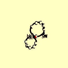 CCSC1(C)CCCCCCCCCCCCCCCC(O)(C2(C)CCCCCCCCCCCCCCC2)CCCC1S